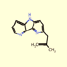 C=C(C)Cc1ccc2[nH]c3cccnc3c2n1